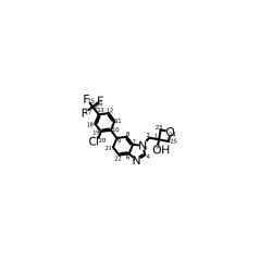 OC1(Cn2cnc3c2=CC(c2ccc(C(F)(F)F)cc2Cl)CC=3)COC1